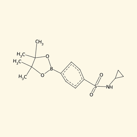 CC1(C)OB(c2ccc(S(=O)(=O)NC3CC3)cc2)OC1(C)C